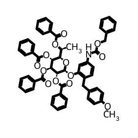 COc1ccc(Cc2ccc(NC(=O)OCc3ccccc3)cc2O[C@@H]2O[C@H]([C@H](C)OC(=O)c3ccccc3)[C@@H](OC(=O)c3ccccc3)[C@H](OC(=O)c3ccccc3)[C@H]2OC(=O)c2ccccc2)cc1